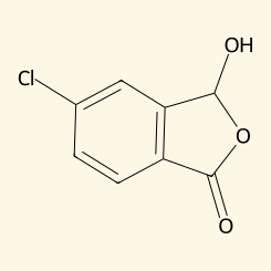 O=C1OC(O)c2cc(Cl)ccc21